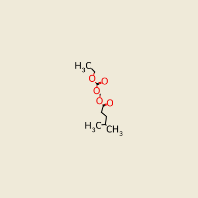 CCOC(=O)OCOC(=O)CCC(C)C